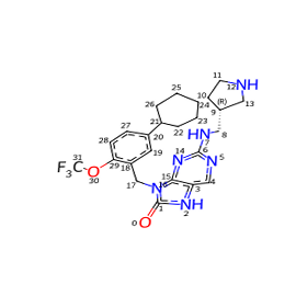 O=c1[nH]c2cnc(NC[C@@H]3CCNC3)nc2n1Cc1cc(C2CCCCC2)ccc1OC(F)(F)F